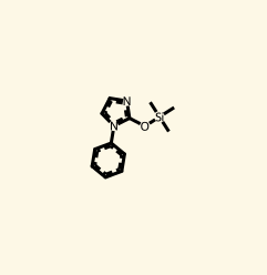 C[Si](C)(C)Oc1nccn1-c1ccccc1